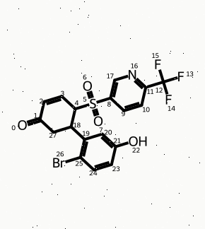 O=C1C=CC(S(=O)(=O)c2ccc(C(F)(F)F)nc2)C(c2cc(O)ccc2Br)C1